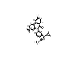 Cn1nc(C2CC2)c2cc(NC(=O)c3ccc(I)cc3N3CCC4(CC3)CC4)cnc21